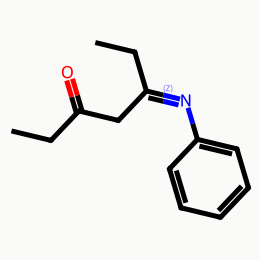 CCC(=O)C/C(CC)=N\c1ccccc1